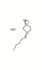 CCCCO[C@@H]1CC[C@H](N)C1.Cl